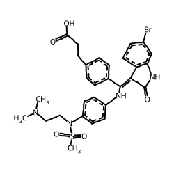 CN(C)CCN(c1ccc(N/C(=C2\C(=O)Nc3cc(Br)ccc32)c2ccc(CCC(=O)O)cc2)cc1)S(C)(=O)=O